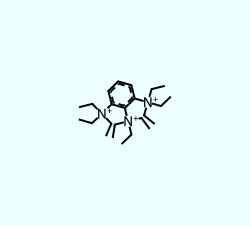 CC[N+](CC)(CC)c1cccc([N+](CC)(CC)CC)c1[N+](CC)(CC)CC